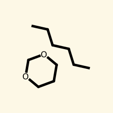 C1COCOC1.CCCCCC